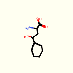 NC(CC(O)C1CCCCC1)C(=O)O